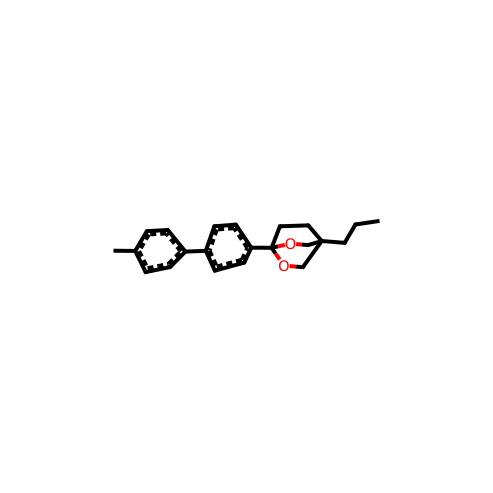 CCCC12CCC(c3ccc(-c4ccc(C)cc4)cc3)(OC1)OC2